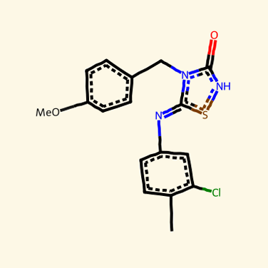 COc1ccc(Cn2c(=O)[nH]s/c2=N\c2ccc(C)c(Cl)c2)cc1